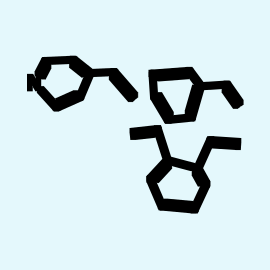 C=Cc1ccccc1.C=Cc1ccccc1C=C.C=Cc1ccncc1